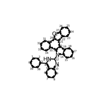 c1ccc(C2=c3ccccc3=NC(n3c4ccccc4c4c5c6ccccc6oc5c5ccccc5c43)N2)cc1